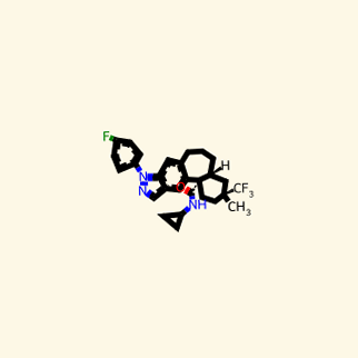 C[C@]1(C(F)(F)F)CC[C@@]2(C(=O)NC3CC3)c3cc4cnn(-c5ccc(F)cc5)c4cc3CCC[C@@H]2C1